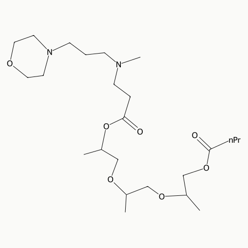 CCCC(=O)OCC(C)OCC(C)OCC(C)OC(=O)CCN(C)CCCN1CCOCC1